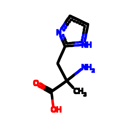 CC(N)(Cc1ncc[nH]1)C(=O)O